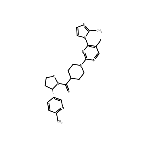 Cc1ccc([C@@H]2CCON2C(=O)C2CCN(c3ncc(F)c(-n4ccnc4C)n3)CC2)cn1